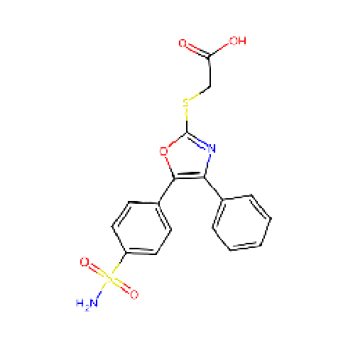 NS(=O)(=O)c1ccc(-c2oc(SCC(=O)O)nc2-c2ccccc2)cc1